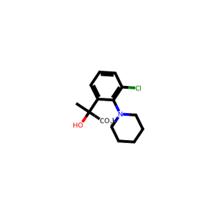 CC(O)(C(=O)O)c1cccc(Cl)c1N1CCCCC1